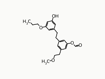 CCCOc1cc(O)cc(CCc2cc(CCOC)cc(OC=O)c2)c1